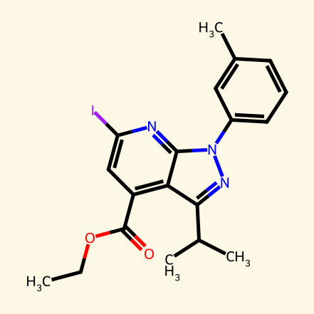 CCOC(=O)c1cc(I)nc2c1c(C(C)C)nn2-c1cccc(C)c1